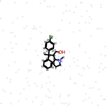 CN1CCCC1C(CO)C(C)(c1ccccc1)c1ccc(Br)cc1